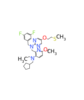 CCN(CC1CCCC1)c1ccc(OC)nc1CN(Cc1cc(F)cc(F)c1)c1ncc(OCCSC)cn1